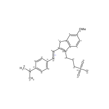 COc1ccc2c(c1)sc(/N=N/c1ccc(N(C)C)cc1)[n+]2CCCS(=O)(=O)[O-]